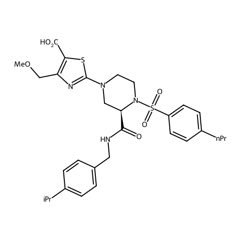 CCCc1ccc(S(=O)(=O)N2CCN(c3nc(COC)c(C(=O)O)s3)C[C@@H]2C(=O)NCc2ccc(C(C)C)cc2)cc1